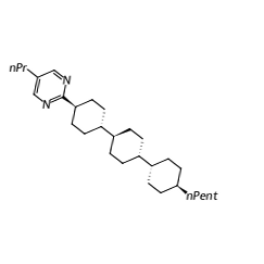 CCCCC[C@H]1CC[C@H]([C@H]2CC[C@H]([C@H]3CC[C@H](c4ncc(CCC)cn4)CC3)CC2)CC1